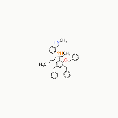 CCCCCC(CC)(Pc1ccccc1CNC)c1cc(Cc2ccccc2)cc(Cc2ccccc2)c1OCc1ccccc1